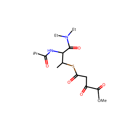 CCN(CC)C(=O)C(NC(=O)C(C)C)C(C)SC(=O)CC(=O)C(=O)OC